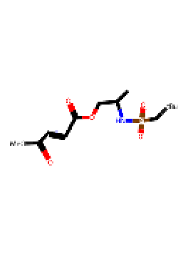 COC(=O)/C=C/C(=O)OCC(C)NS(=O)(=O)CC(C)(C)C